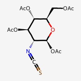 CC(=O)OC[C@H]1O[C@@H](OC(C)=O)[C@H](N=C=S)[C@@H](OC(C)=O)[C@@H]1OC(C)=O